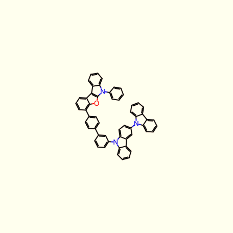 c1ccc(-n2c3ccccc3c3c4cccc(-c5ccc(-c6cccc(-n7c8ccccc8c8cc(-n9c%10ccccc%10c%10ccccc%109)ccc87)c6)cc5)c4oc32)cc1